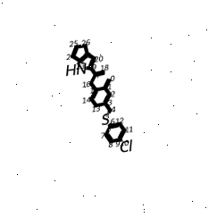 C=C1C=C(CSc2ccc(Cl)cc2)CC=C1CC(=C)c1cc2c([nH]1)C=CC2